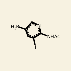 Bc1cnc(NC(C)=O)c(I)c1